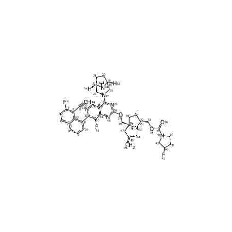 C#Cc1c(F)ccc2cccc(-c3ncc4c(N5C[C@H]6CC[C@@H](C5)N6)nc(OC[C@@]56CC[C@@H](COC(=O)N7CCC(F)C7)N5CC(=C)C6)nc4c3F)c12